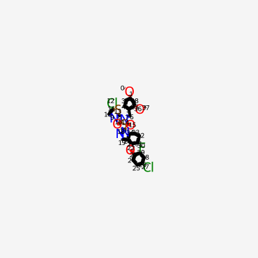 COc1ccc(CN(c2ncc(Cl)s2)S(=O)(=O)n2ncc3c(Oc4ccc(Cl)cc4F)cccc32)c(OC)c1